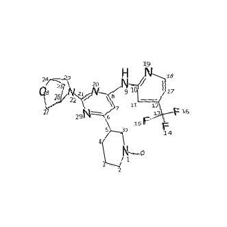 CN1CCCC(c2cc(Nc3cc(C(F)(F)F)ccn3)nc(N3CC4CC3CO4)n2)C1